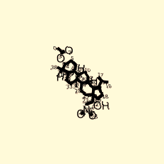 CC(=O)O[C@H]1CC[C@]2(C)[C@H]3CC[C@@H]4C5=C(C(C)C)CCC5(C(O)C[N+](=O)[O-])CC[C@@]4(C)[C@]3(C)CC[C@H]2C1(C)C